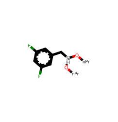 CCCO[SiH](Cc1cc(F)cc(F)c1)OCCC